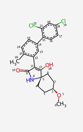 CO[C@H]1CC[C@@]2(CC1)NC(=O)C(c1cc(-c3ccc(Cl)cc3Cl)ccc1C)=C2O